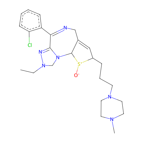 CCN1CN2C(=N1)C(c1ccccc1Cl)=NCC1=CC(CCCN3CCN(C)CC3)[S+]([O-])C12